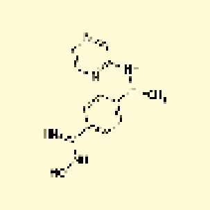 C[C@@H](Nc1cnccn1)c1ccc(C(=N)NO)cc1